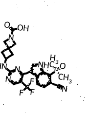 CP(C)(=O)c1c(C#N)ccc2c(-c3nc(NC4CC5(C4)CN(C(=O)O)C5)ncc3C(F)(F)F)c[nH]c12